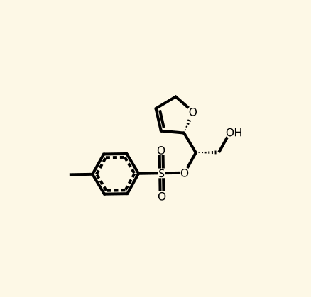 Cc1ccc(S(=O)(=O)O[C@@H](CO)[C@@H]2C=CCO2)cc1